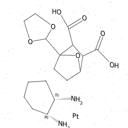 N[C@@H]1CCCC[C@@H]1N.O=C(O)C1C2CCC(C3OCCO3)(O2)C1C(=O)O.[Pt]